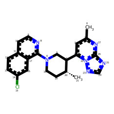 Cc1cc(C2CN(c3nccc4ccc(Cl)cc34)CC[C@H]2C)n2ncnc2n1